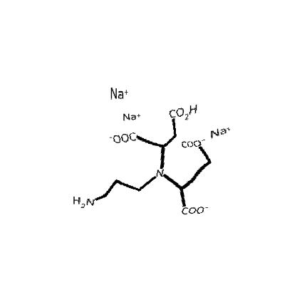 NCCN(C(CC(=O)[O-])C(=O)[O-])C(CC(=O)O)C(=O)[O-].[Na+].[Na+].[Na+]